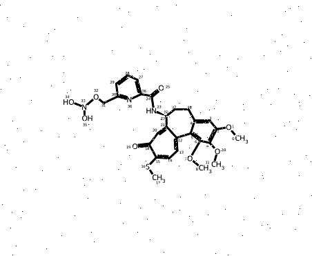 COc1cc2c(c(OC)c1OC)-c1ccc(SC)c(=O)cc1[C@@H](NC(=O)c1cccc(CON(O)O)n1)CC2